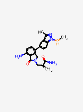 C=C(CN1Cc2c(-c3ccc4c(c3)c(C#N)nn4PC)ccc(N)c2C1=O)C(N)=O